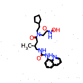 C[C@H](CNC(=O)Nc1cccc2cccnc12)CC(=O)N(CCC1CCCC1)CC(=O)NO